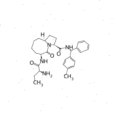 CC[C@H](N)C(=O)N[C@H]1CCCC[C@H]2CC[C@@H](C(=O)N[C@@H](c3ccccc3)c3ccc(C)cc3)N2C1=O